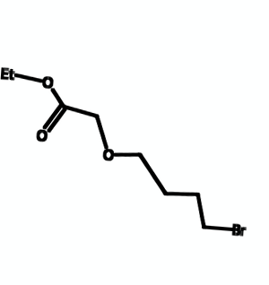 CCOC(=O)COCCCCBr